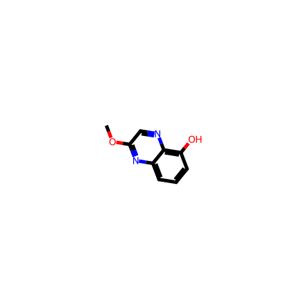 COc1cnc2c(O)cccc2n1